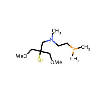 COCC(S)(COC)CN(C)CCP(C)C